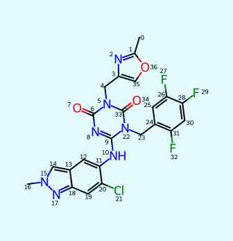 Cc1nc(Cn2c(=O)nc(Nc3cc4cn(C)nc4cc3Cl)n(Cc3cc(F)c(F)cc3F)c2=O)co1